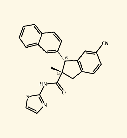 C[C@]1(C(=O)Nc2nccs2)Cc2ccc(C#N)cc2[C@H]1c1ccc2ccccc2c1